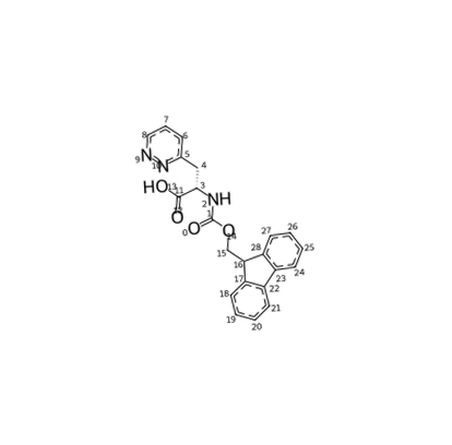 O=C(N[C@@H](Cc1cccnn1)C(=O)O)OCC1c2ccccc2-c2ccccc21